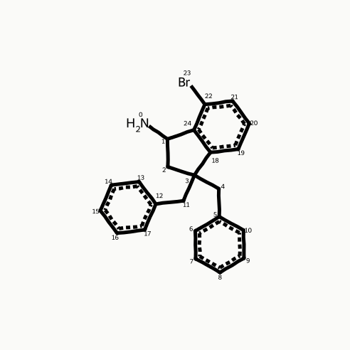 NC1CC(Cc2ccccc2)(Cc2ccccc2)c2cccc(Br)c21